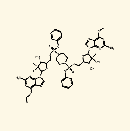 CCOc1nc(N)nc2c1ncn2[C@@H]1O[C@H](COP(=O)(Oc2ccccc2)N2CCN(P(=O)(OC[C@H]3O[C@@H](n4cnc5c(OC)nc(N)nc54)[C@](C)(O)[C@@H]3O)Oc3ccccc3)CC2)[C@@H](O)[C@@]1(C)F